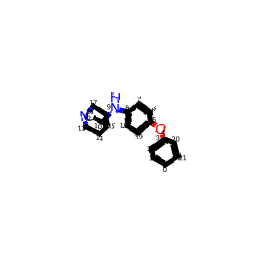 c1ccc(Oc2ccc(NC3CN4CCC3CC4)cc2)cc1